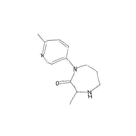 Cc1ccc(N2CCCNC(C)C2=O)cn1